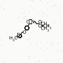 Cn1ccc(COc2ccc(C3CN(CCC(=O)OC(C)(C)C)CCO3)cc2)n1